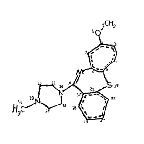 COc1ccc2c(c1)N=C(N1CCN(C)CC1)c1ccccc1S2